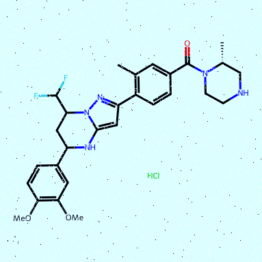 COc1ccc(C2CC(C(F)F)n3nc(-c4ccc(C(=O)N5CCNC[C@H]5C)cc4C)cc3N2)cc1OC.Cl